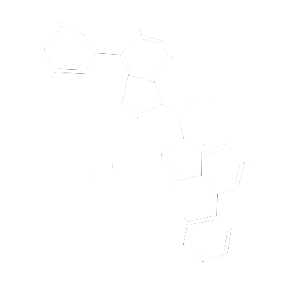 [CH2]=[Hf+2]([CH]1C=Cc2c(-c3ccccc3)cccc21)[CH]1C=Cc2c(-c3ccccc3)cccc21.[Cl-].[Cl-]